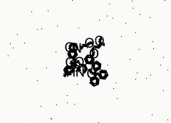 COCCCN1CCOc2ccc(C(O[C@H]3CNC[C@@H](COC(c4ccccc4)(c4ccccc4)c4ccccc4)[C@@H]3c3ccc(OCCCC(C)OC)cc3)S(=O)(=O)c3ccc(C)cc3)cc21